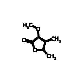 COC1C(=O)OC(C)C1C